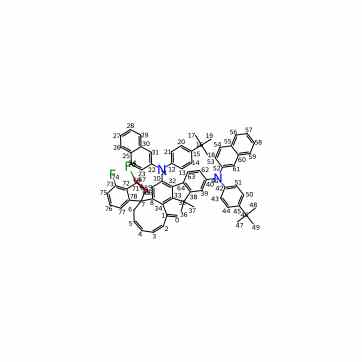 C=C1/C=C\C=C/CC2(c3cc(N(c4ccc(C(C)(C)C)cc4)c4ccc5ccccc5c4)c4c(c31)C(C)(C)c1cc(N(c3ccc(C(C)(C)C)cc3)c3ccc5ccccc5c3)ccc1-4)c1cccc(F)c1-c1c(F)cccc12